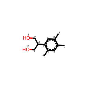 Cc1cc(C)c(C(CO)CO)cc1C